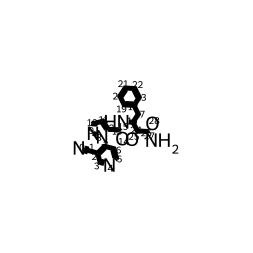 N#Cc1cnccc1-n1nccc1C(=O)NC(Cc1ccccc1)C(=O)C(N)=O